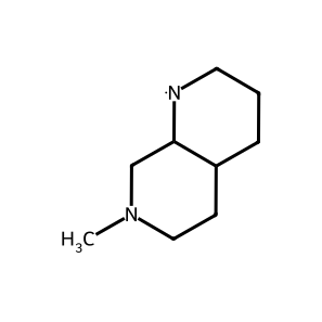 CN1CCC2CCC[N]C2C1